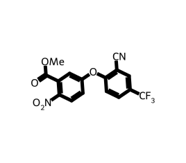 COC(=O)c1cc(Oc2ccc(C(F)(F)F)cc2C#N)ccc1[N+](=O)[O-]